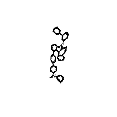 CN(c1ccccc1)c1ccc(-c2ccc(-c3cccc4c3c3c5ccccc5ccc3n4-c3cccc(-c4ccccc4)c3)cc2)cc1